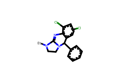 CCN1CCN2C1=Nc1c(Cl)cc(Cl)cc1C2c1ccccc1